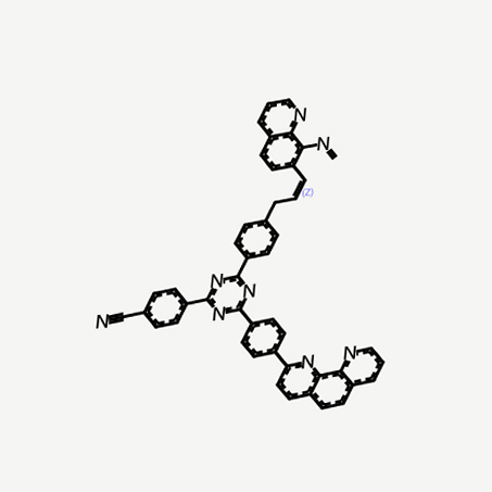 C=Nc1c(/C=C\Cc2ccc(-c3nc(-c4ccc(C#N)cc4)nc(-c4ccc(-c5ccc6ccc7cccnc7c6n5)cc4)n3)cc2)ccc2cccnc12